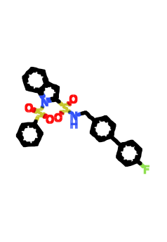 O=S(=O)(NCc1ccc(-c2ccc(F)cc2)cc1)c1cc2ccccc2n1S(=O)(=O)c1ccccc1